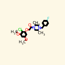 COc1cc(OC)c(Cl)c(OCC(=O)N2C[C@@H](C)N(Cc3ccc(F)cc3)C[C@@H]2C)c1